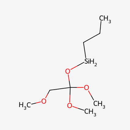 CCC[SiH2]OC(COC)(OC)OC